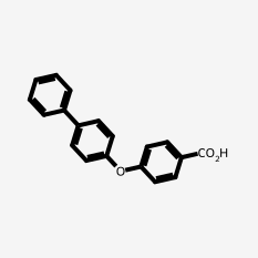 O=C(O)c1ccc(Oc2ccc(-c3ccccc3)cc2)cc1